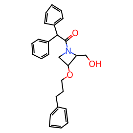 O=C(C(c1ccccc1)c1ccccc1)N1CC(OCCCc2ccccc2)C1CO